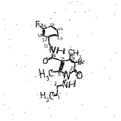 CCCNn1c(C)c(C(=O)NCc2cccc(F)c2)c(C)c(Br)c1=O